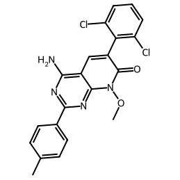 COn1c(=O)c(-c2c(Cl)cccc2Cl)cc2c(N)nc(-c3ccc(C)cc3)nc21